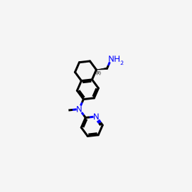 CN(c1ccc2c(c1)CCC[C@H]2CN)c1ccccn1